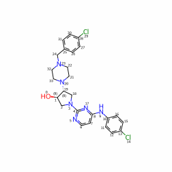 O[C@@H]1CN(c2nccc(Nc3ccc(Cl)cc3)n2)C[C@H]1N1CCN(Cc2ccc(Cl)cc2)CC1